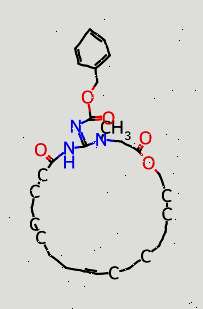 CN1CC(=O)OCCCCCCCC/C=C/CCCCCCCC(=O)N/C1=N/C(=O)OCc1ccccc1